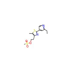 CCc1cc(-c2nc(CCOS(C)(=O)=O)c(C)s2)ccn1